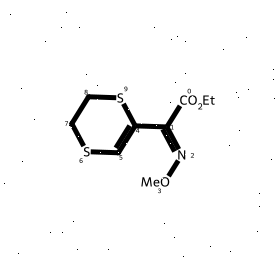 CCOC(=O)/C(=N/OC)C1=CSCCS1